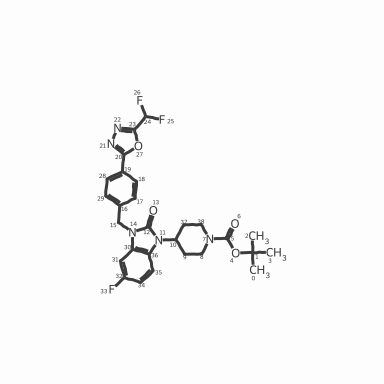 CC(C)(C)OC(=O)N1CCC(n2c(=O)n(Cc3ccc(-c4nnc(C(F)F)o4)cc3)c3cc(F)ccc32)CC1